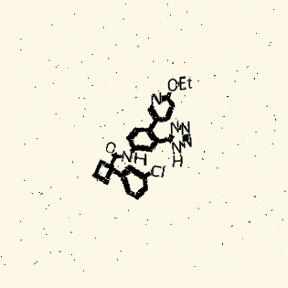 CCOc1ccc(-c2ccc(NC(=O)C3(c4cccc(Cl)c4)CCC3)cc2-c2nnn[nH]2)cn1